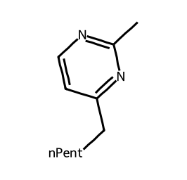 CCCCCCc1ccnc(C)n1